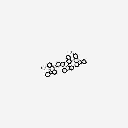 Cc1cccc(N(c2ccc3cc4c(cc3c2)C2(c3ccccc3-c3ccccc32)c2cc(N(c3cccc(C)c3)c3cccc5c3oc3ccccc35)c3ccccc3c2-4)c2cccc3c2oc2ccccc23)c1